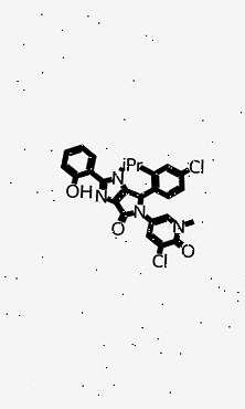 Cc1cc(Cl)ccc1C1c2c(nc(-c3ccccc3O)n2C(C)C)C(=O)N1c1cc(Cl)c(=O)n(C)c1